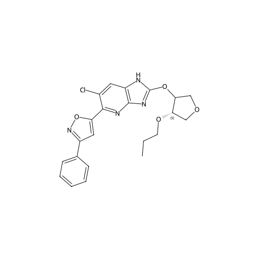 CCCO[C@H]1COCC1Oc1nc2nc(-c3cc(-c4ccccc4)no3)c(Cl)cc2[nH]1